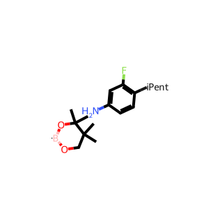 CC1(C)CO[B]OC1(C)C.CCCC(C)c1ccc(N)cc1F